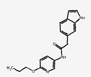 CCCOc1ccc(NC(=O)Cc2ccc3cc[nH]c3c2)cn1